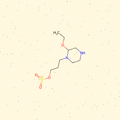 CCOC1CNCCN1CCCO[SH](=O)=O